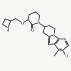 Cc1c(Cl)cnc2c1cc1n2CCC(N2CCCC(OCC3CCN3)C2=O)C1